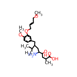 COCC=CCOc1cc(CC(CC(N)C(O)CC(C)C(=O)O)C(C)C)ccc1OC